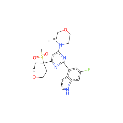 C[C@@H]1COCCN1c1cc(C2(S(C)(=O)=O)CCOCC2)nc(-c2cc(F)cc3[nH]ccc23)n1